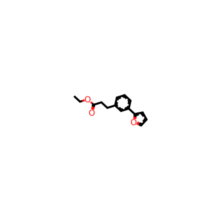 CCOC(=O)CCc1cccc(-c2ccco2)c1